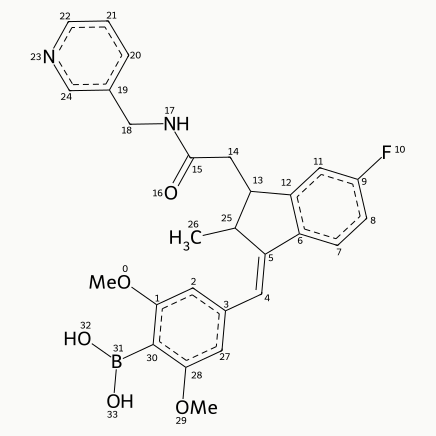 COc1cc(C=C2c3ccc(F)cc3C(CC(=O)NCc3cccnc3)C2C)cc(OC)c1B(O)O